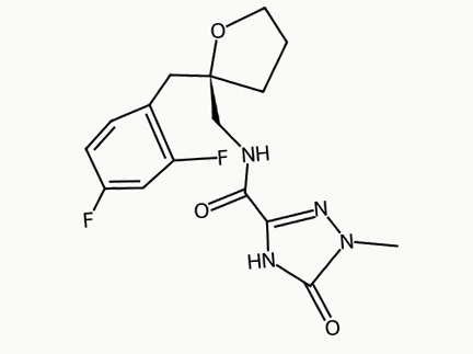 Cn1nc(C(=O)NC[C@]2(Cc3ccc(F)cc3F)CCCO2)[nH]c1=O